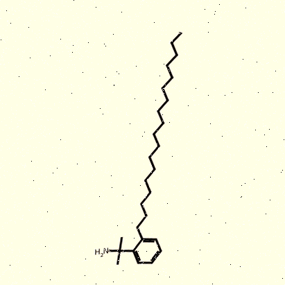 CCCCCCCCCCCCCCCCCCc1ccccc1C(C)(C)N